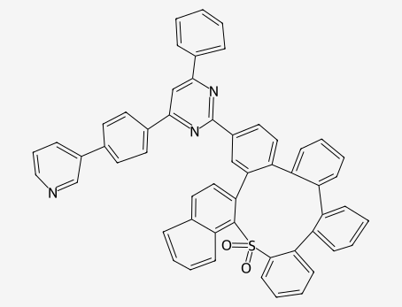 O=S1(=O)c2ccccc2-c2ccccc2-c2ccccc2-c2ccc(-c3nc(-c4ccccc4)cc(-c4ccc(-c5cccnc5)cc4)n3)cc2-c2ccc3ccccc3c21